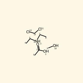 CC(=O)O.CCNCC.CO.ClCCl